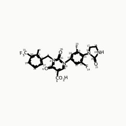 Cc1c(Cn2c(=O)c(C(=O)O)cn(-c3cc(F)c(N4CCNC4=O)c(F)c3)c2=O)cccc1C(F)(F)F